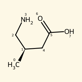 C[C@@H](CN)CC(=O)O